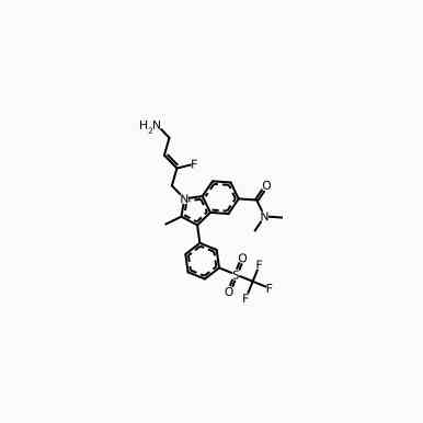 Cc1c(-c2cccc(S(=O)(=O)C(F)(F)F)c2)c2cc(C(=O)N(C)C)ccc2n1CC(F)=CCN